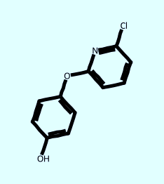 Oc1ccc(Oc2cccc(Cl)n2)cc1